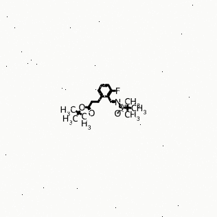 CC(C)(C)OC(=O)CCc1cccc(F)c1C=N[S@+]([O-])C(C)(C)C